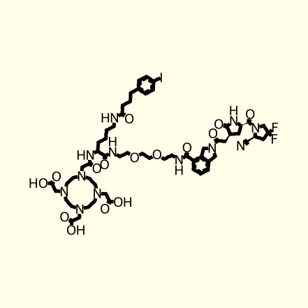 N#C[C@@H]1CC(F)(F)CN1C(=O)[C@@H]1C[C@@H](CC(=O)N2Cc3cccc(C(=O)NCCOCCOCCNC(=O)C(CCCCNC(=O)CCCc4ccc(I)cc4)NC(=O)CN4CCN(CC(=O)O)CCN(CC(=O)O)CCN(CC(=O)O)CC4)c3C2)C(=O)N1